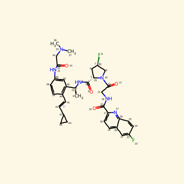 C[C@H](NC(=O)[C@@H]1C[C@@H](F)CN1C(=O)CNC(=O)c1ccc2cc(F)ccc2n1)c1cc(NC(=O)CN(C)C)ccc1/C=C/C1CC1